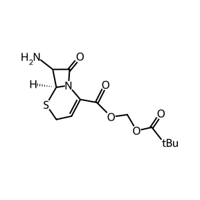 CC(C)(C)C(=O)OCOC(=O)C1=CCS[C@H]2C(N)C(=O)N12